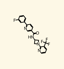 O=C(NC1CN(c2ncccc2C(F)(F)F)C1)c1ccc(-c2cccc(F)c2)nc1